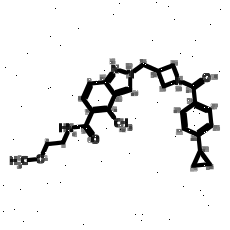 COCCNC(=O)c1ccc2nn(CC3CN(C(=O)c4ccc(C5CC5)cc4)C3)cc2c1C